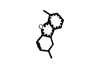 Cc1cccc2c3c(oc12)C=CC(C)C3